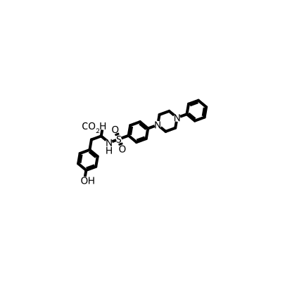 O=C(O)C(Cc1ccc(O)cc1)NS(=O)(=O)c1ccc(N2CCN(c3ccccc3)CC2)cc1